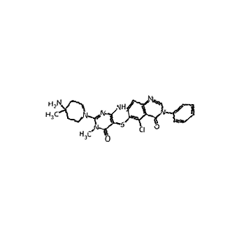 Cn1c(N2CCC(C)(N)CC2)nc(N)c(Sc2ccc3ncn(-c4ccccc4)c(=O)c3c2Cl)c1=O